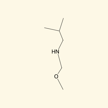 COCNCC(C)C